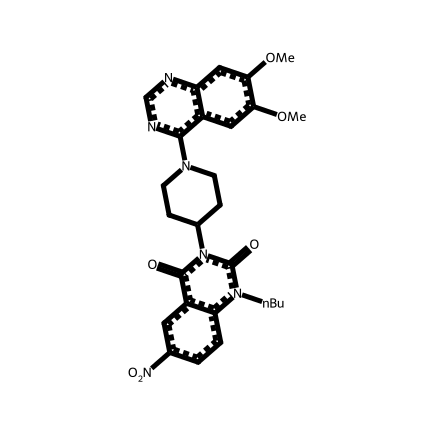 CCCCn1c(=O)n(C2CCN(c3ncnc4cc(OC)c(OC)cc34)CC2)c(=O)c2cc([N+](=O)[O-])ccc21